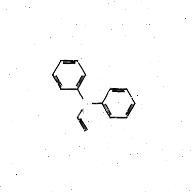 C=[CH][GeH]([c]1ccccc1)[c]1ccccc1